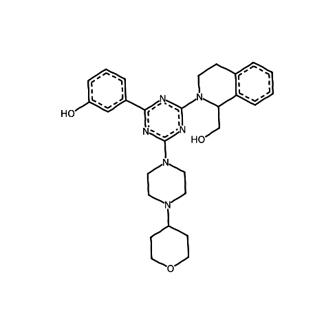 OCC1c2ccccc2CCN1c1nc(-c2cccc(O)c2)nc(N2CCN(C3CCOCC3)CC2)n1